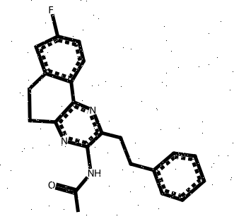 CC(=O)Nc1nc2c(nc1CCc1ccccc1)-c1ccc(F)cc1CC2